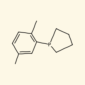 Cc1ccc(C)c(P2CCCC2)c1